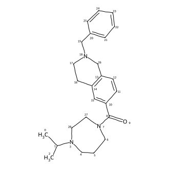 CC(C)N1CCCN(C(=O)c2ccc3c(c2)CCN(Cc2ccccc2)C3)CC1